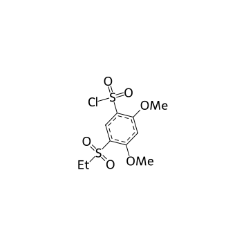 CCS(=O)(=O)c1cc(S(=O)(=O)Cl)c(OC)cc1OC